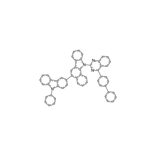 c1ccc(-c2ccc(-c3nc(-n4c5ccccc5c5cc(-c6ccc7c(c6)c6ccccc6n7-c6ccccc6)c6ccccc6c54)nc4ccccc34)cc2)cc1